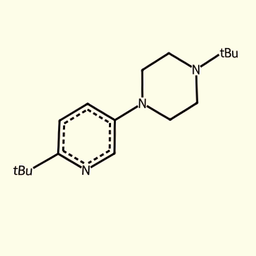 CC(C)(C)c1ccc(N2CCN(C(C)(C)C)CC2)cn1